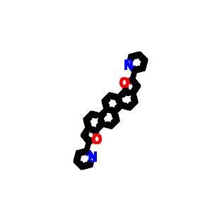 c1ccc(-c2cc3ccc4c5ccc6c(ccc7cc(-c8ccccn8)oc76)c5ccc4c3o2)nc1